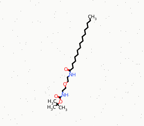 CCCCCCCCCCCCCCCCC(=O)NCCOCCNC(=O)OC(C)(C)C